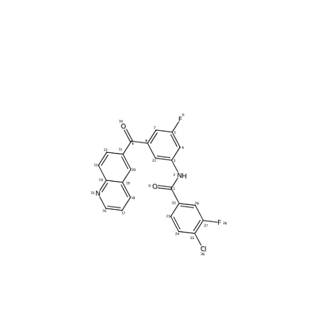 O=C(Nc1cc(F)cc(C(=O)c2ccc3ncccc3c2)c1)c1ccc(Cl)c(F)c1